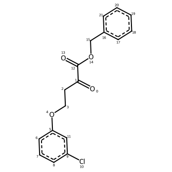 O=C(CCOc1cccc(Cl)c1)C(=O)OCc1ccccc1